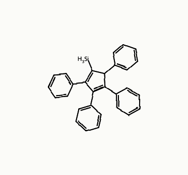 [SiH3]C1=C(c2ccccc2)C(c2ccccc2)=C(c2ccccc2)C1c1ccccc1